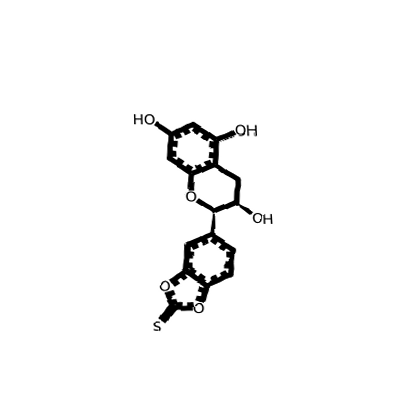 Oc1cc(O)c2c(c1)O[C@H](c1ccc3oc(=S)oc3c1)[C@H](O)C2